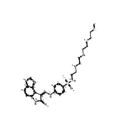 COCCOCCOCCOCCNS(=O)(=O)c1ccc(N/C=C2\C(=O)Nc3ccc4scnc4c32)cc1